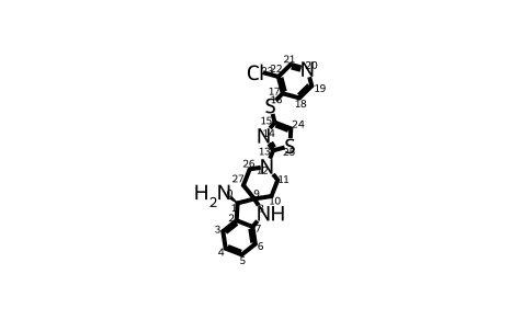 N[C@@H]1c2ccccc2NC12CCN(c1nc(Sc3ccncc3Cl)cs1)CC2